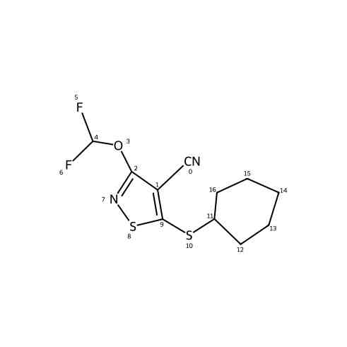 N#Cc1c(OC(F)F)nsc1SC1CCCCC1